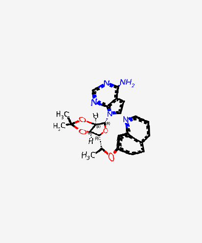 CC(Oc1ccc2cccnc2c1)[C@H]1O[C@@H](n2ccc3c(N)ncnc32)[C@@H]2OC(C)(C)O[C@@H]21